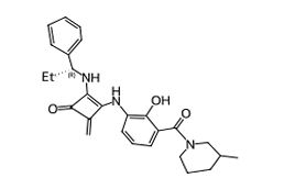 C=C1C(=O)C(N[C@H](CC)c2ccccc2)=C1Nc1cccc(C(=O)N2CCCC(C)C2)c1O